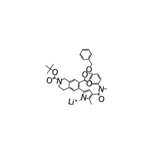 Cc1c(C(=O)N(C)c2ccc(OCc3ccccc3)cc2)cc(-c2cc3c(cc2C(=O)[O-])CN(C(=O)OC(C)(C)C)CC3)n1C.[Li+]